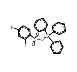 O=S(=O)(OS(c1ccccc1)(c1ccccc1)c1ccccc1)c1ccc(F)cc1F